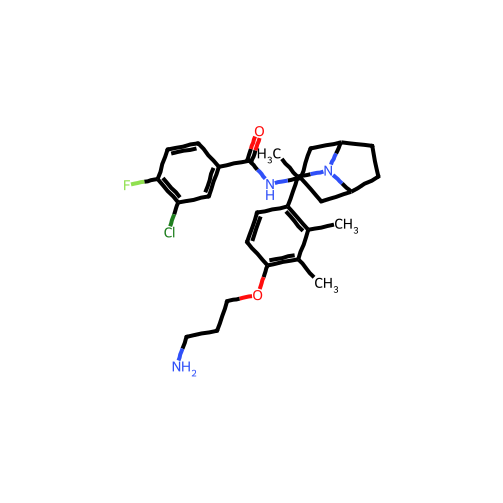 Cc1c(OCCCN)ccc(C(C)N2C3CCC2CC(NC(=O)c2ccc(F)c(Cl)c2)C3)c1C